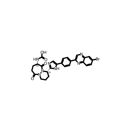 O=C(O)N[C@H]1CCC(=O)N2CCC[C@@H](c3ncc(-c4ccc(-c5cnc6cc(Br)ccc6n5)cc4)[nH]3)N2C1=O